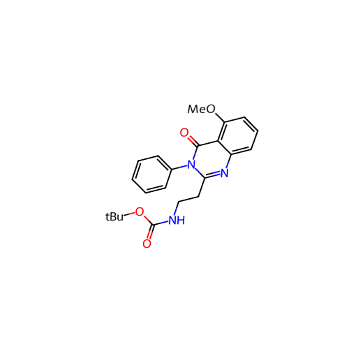 COc1cccc2nc(CCNC(=O)OC(C)(C)C)n(-c3ccccc3)c(=O)c12